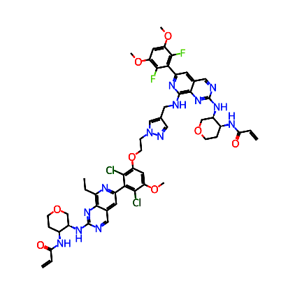 C=CC(=O)N[C@H]1CCOC[C@H]1Nc1ncc2cc(-c3c(Cl)c(OC)cc(OCCn4cc(CNc5nc(-c6c(F)c(OC)cc(OC)c6F)cc6cnc(N[C@@H]7COCC[C@@H]7NC(=O)C=C)nc56)cn4)c3Cl)nc(CC)c2n1